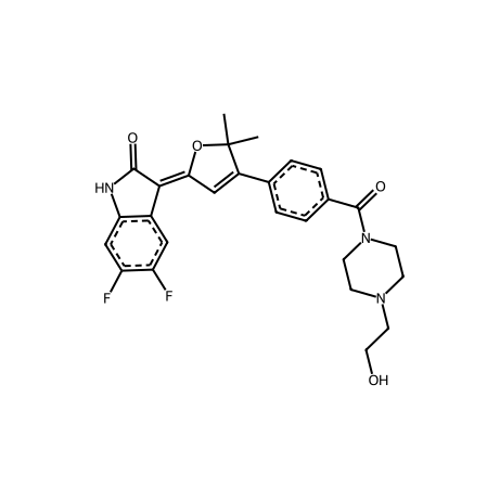 CC1(C)OC(=C2C(=O)Nc3cc(F)c(F)cc32)C=C1c1ccc(C(=O)N2CCN(CCO)CC2)cc1